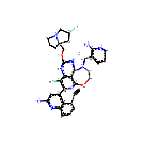 C#Cc1cccc2nc(N)cc(-c3nc4c5c(nc(OC[C@@]67CCCN6C[C@H](F)C7)nc5c3F)N([C@H](C)c3cccnc3N)CCO4)c12